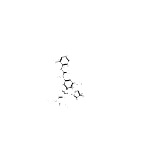 CN(C)C=NS(=O)(=O)c1cc(NC(=O)Cc2ccccc2Cl)cc(C#N)c1-n1cc(F)cn1